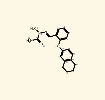 CN(N=Cc1ccccc1Oc1ccc2c(c1)CCCC2)C(N)=O